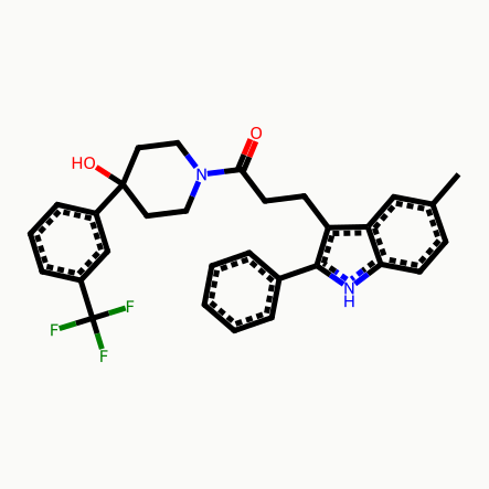 Cc1ccc2[nH]c(-c3ccccc3)c(CCC(=O)N3CCC(O)(c4cccc(C(F)(F)F)c4)CC3)c2c1